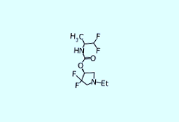 CCN1C[C@H](OC(=O)NC(C)C(F)F)C(F)(F)C1